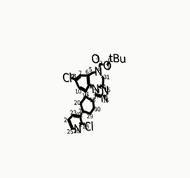 CC(C)(C)OC(=O)N1Cc2cc(Cl)ccc2-n2c(nnc2[C@H]2CC[C@H](c3cccnc3Cl)CC2)C1